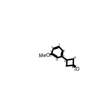 COc1cccc(C2CC(=O)C2)c1